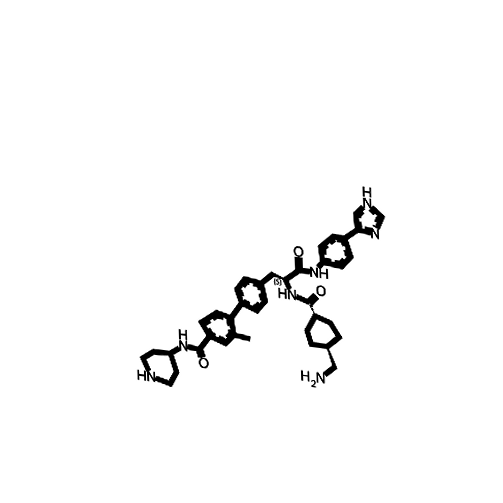 Cc1cc(C(=O)NC2CCNCC2)ccc1-c1ccc(C[C@H](NC(=O)[C@H]2CC[C@H](CN)CC2)C(=O)Nc2ccc(-c3c[nH]cn3)cc2)cc1